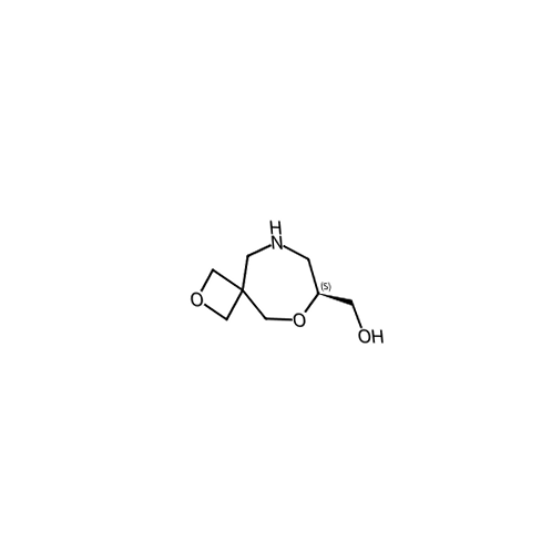 OC[C@@H]1CNCC2(COC2)CO1